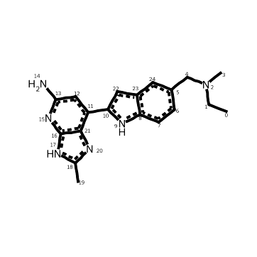 CCN(C)Cc1ccc2[nH]c(-c3cc(N)nc4[nH]c(C)nc34)cc2c1